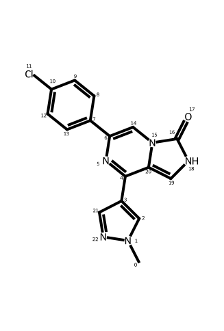 Cn1cc(-c2nc(-c3ccc(Cl)cc3)cn3c(=O)[nH]cc23)cn1